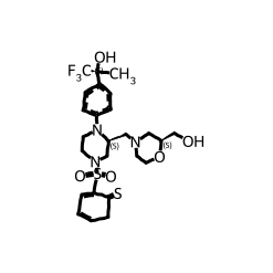 C[C@](O)(c1ccc(N2CCN(S(=O)(=O)C3=CC=CCC3=S)C[C@@H]2CN2CCO[C@H](CO)C2)cc1)C(F)(F)F